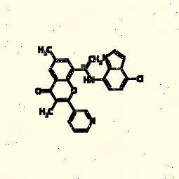 Cc1cc([C@@H](C)NC2=CC=C(Cl)C3C=CN=C23)c2oc(-c3cccnc3)c(C)c(=O)c2c1